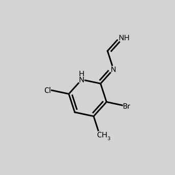 Cc1cc(Cl)[nH]/c(=N\C=N)c1Br